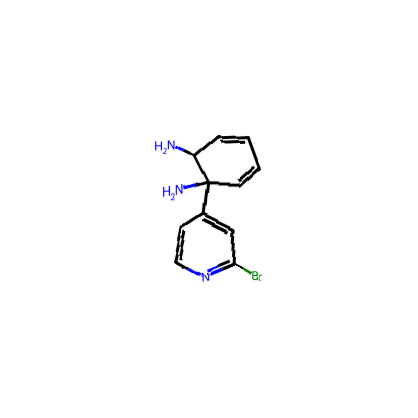 NC1C=CC=CC1(N)c1ccnc(Br)c1